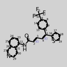 O=C(/C=C/C=C(\c1ccc(C(F)(F)F)cc1)c1cccs1)Nc1cccc2cnccc12